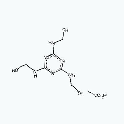 CC(=O)O.OCNc1nc(NCO)nc(NCO)n1